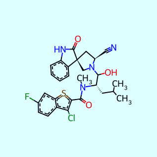 CC(C)C[C@@H](C(O)N1C[C@]2(C[C@H]1C#N)C(=O)Nc1ccccc12)N(C)C(=O)c1sc2cc(F)ccc2c1Cl